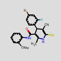 COc1ccccc1NC(=O)C1=C(C)NC(S)=C(C#N)C1c1ccc(Br)cc1F